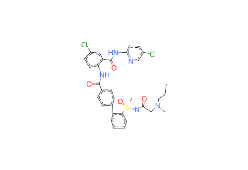 CCCN(C)CC(=O)N=S(C)(=O)c1ccccc1-c1ccc(C(=O)Nc2ccc(Cl)cc2C(=O)Nc2ccc(Cl)cn2)cc1